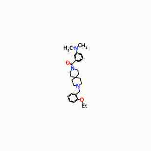 CCOc1ccccc1CN1CCC2(CC1)CCN(C(=O)c1cccc(N(C)C)c1)CC2